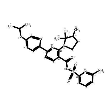 CC(C)Oc1cnc(-c2ccc(C(=O)NS(=O)(=O)c3cccc(N)n3)c(N3CCC(C)C3(C)C)n2)cn1